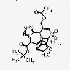 CO[C@H]1C(=O)N2C(c3nnnn3C(C(=O)OC(C)(C)C)c3ccccc3)C(COC(C)=O)=CS(=O)(=O)[C@@H]12